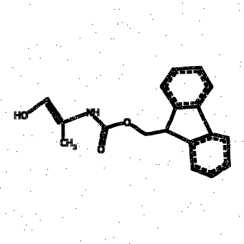 C/C(=C\O)NC(=O)OCC1c2ccccc2-c2ccccc21